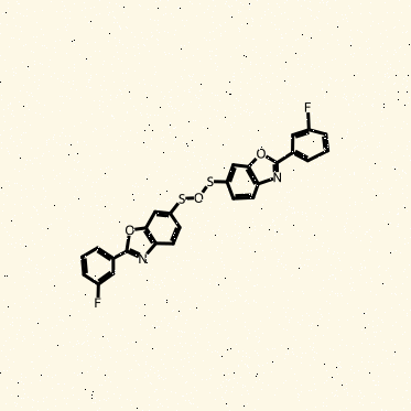 Fc1cccc(-c2nc3ccc(SOSc4ccc5nc(-c6cccc(F)c6)oc5c4)cc3o2)c1